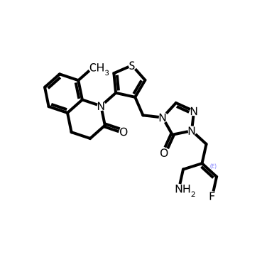 Cc1cccc2c1N(c1cscc1Cn1cnn(C/C(=C/F)CN)c1=O)C(=O)CC2